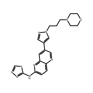 c1nnc(Nc2ccc3ncc(-c4cnn(CCCN5CCOCC5)c4)cc3n2)s1